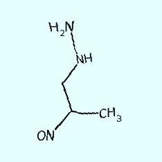 CC(CNN)N=O